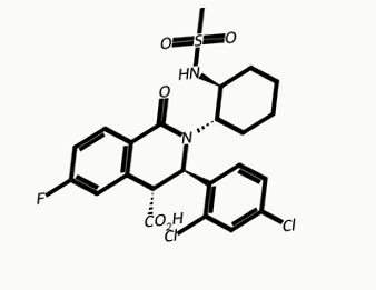 CS(=O)(=O)N[C@H]1CCCC[C@@H]1N1C(=O)c2ccc(F)cc2[C@@H](C(=O)O)[C@@H]1c1ccc(Cl)cc1Cl